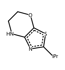 CC(C)c1nc2c(s1)OCCN2